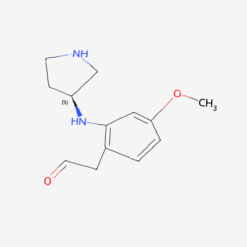 COc1ccc(CC=O)c(N[C@H]2CCNC2)c1